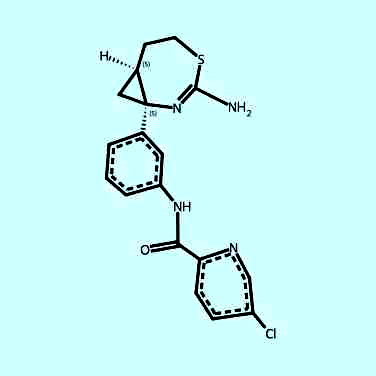 NC1=N[C@@]2(c3cccc(NC(=O)c4ccc(Cl)cn4)c3)C[C@H]2CCS1